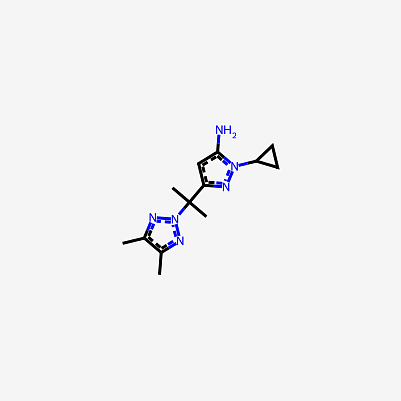 Cc1nn(C(C)(C)c2cc(N)n(C3CC3)n2)nc1C